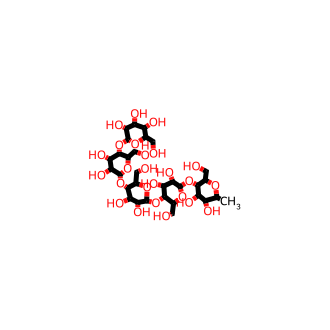 CC1OC(CO)C(OC2OC(CO)C(OC3OC(CO)C(OC4OC(CO)C(OC5OC(CO)C(O)C(O)C5O)C(O)C4O)C(O)C3O)C(O)C2O)C(O)C1O